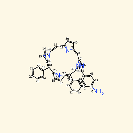 Nc1ccc(-c2cc3cc4nc(cc5ccc([nH]5)c(-c5ccccc5)c5nc(c(-c6ccccc6)c2[nH]3)C=C5)C=C4)cc1